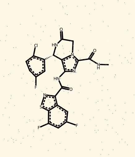 CNC(=O)c1nc(NC(=O)c2nsc3c(F)cc(F)cc23)c2n1CC(=O)N[C@H]2c1cc(F)ccc1Cl